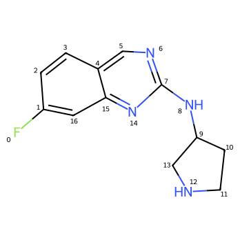 Fc1ccc2cnc(NC3CCNC3)nc2c1